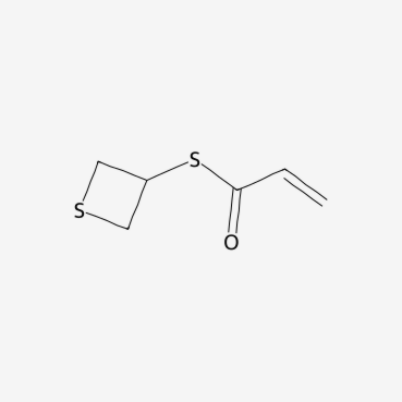 C=CC(=O)SC1CSC1